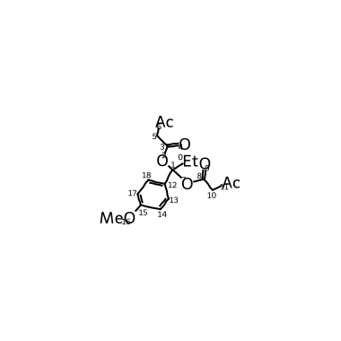 CCC(OC(=O)CC(C)=O)(OC(=O)CC(C)=O)c1ccc(OC)cc1